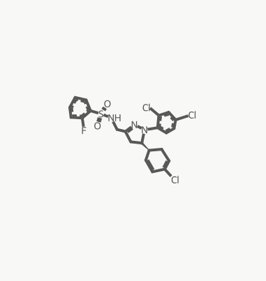 O=S(=O)(NCC1=NN(c2ccc(Cl)cc2Cl)C([C@@H]2C=CC(Cl)=CC2)C1)c1ccccc1F